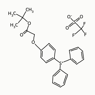 CC(C)(C)OC(=O)COc1ccc([S+](c2ccccc2)c2ccccc2)cc1.O=S(=O)([O-])C(F)(F)F